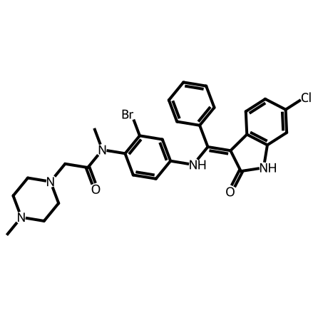 CN1CCN(CC(=O)N(C)c2ccc(N/C(=C3\C(=O)Nc4cc(Cl)ccc43)c3ccccc3)cc2Br)CC1